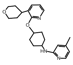 Cc1ccnc(NC2CCC(Oc3ncccc3C3CCOCC3)CC2)c1